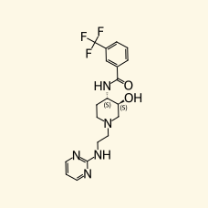 O=C(N[C@H]1CCN(CCNc2ncccn2)C[C@@H]1O)c1cccc(C(F)(F)F)c1